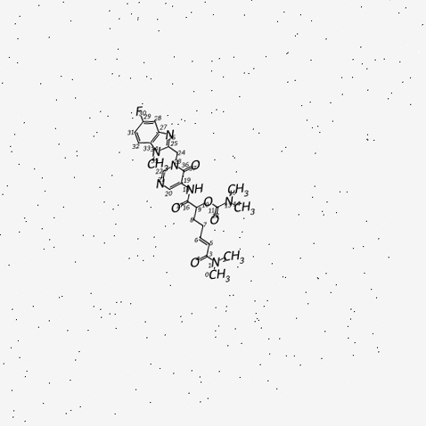 CN(C)C(=O)C=CCCC(OC(=O)N(C)C)C(=O)Nc1cncn(Cc2nc3cc(F)ccc3n2C)c1=O